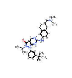 CC(C)n1c(=O)c2cnc(Nc3ccc4c(c3)CCC(CN(C)C)C4)nc2n1-c1cccc(C(C)(C)C)c1